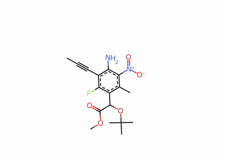 CC#Cc1c(N)c([N+](=O)[O-])c(C)c(C(OC(C)(C)C)C(=O)OC)c1F